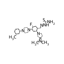 Cc1cccc(N2CCN(c3cc(N4CC[C@@H](N(C)C)C4)c(C=NNC(N)=S)cc3F)CC2)c1